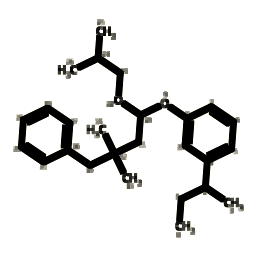 CCC(C)c1cccc(OC(CC(C)(C)Cc2ccccc2)OCC(C)C)c1